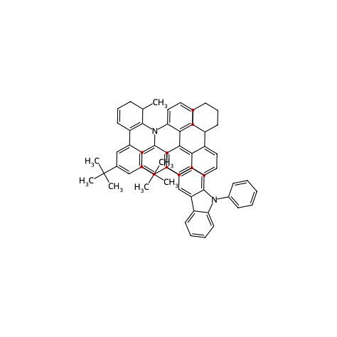 CC1CC=CC(c2cc(C(C)(C)C)cc(C(C)(C)C)c2)=C1N(c1cccc(-c2ccc3c(c2)c2ccccc2n3-c2ccccc2)c1)c1ccccc1-c1cccc2cccc(C3CCCCC3)c12